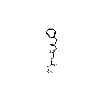 COC(=O)CCc1cc(Cc2ccccc2)cs1